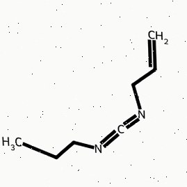 C=CCN=C=NCCC